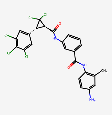 Cc1cc(N)ccc1NC(=O)c1cccc(NC(=O)[C@H]2[C@H](c3cc(Cl)c(Cl)c(Cl)c3)C2(Cl)Cl)c1